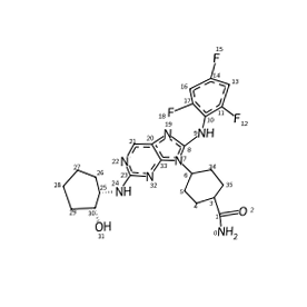 NC(=O)C1CCC(n2c(Nc3c(F)cc(F)cc3F)nc3cnc(N[C@H]4CCCC[C@H]4O)nc32)CC1